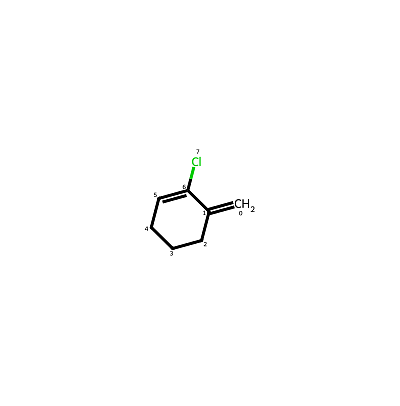 C=C1CCCC=C1Cl